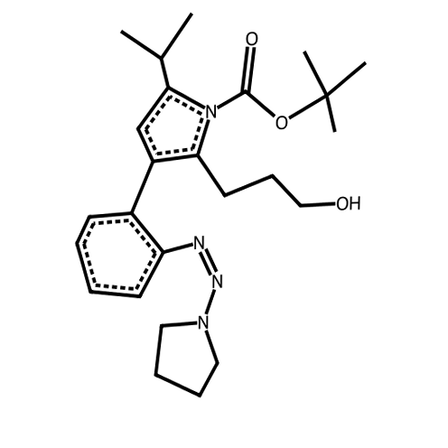 CC(C)c1cc(-c2ccccc2/N=N\N2CCCC2)c(CCCO)n1C(=O)OC(C)(C)C